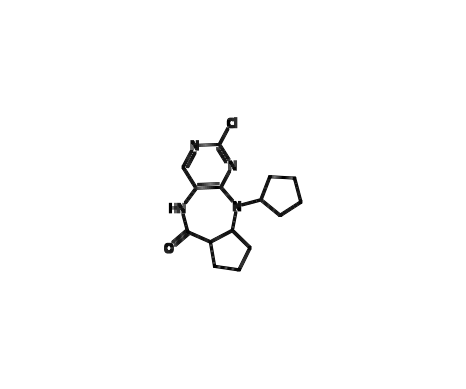 O=C1Nc2cnc(Cl)nc2N(C2CCCC2)C2CCCC12